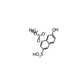 O=S(=O)(O)c1ccc2cc(O)ccc2c1.O=S([O-])[O-].[Na+].[Na+]